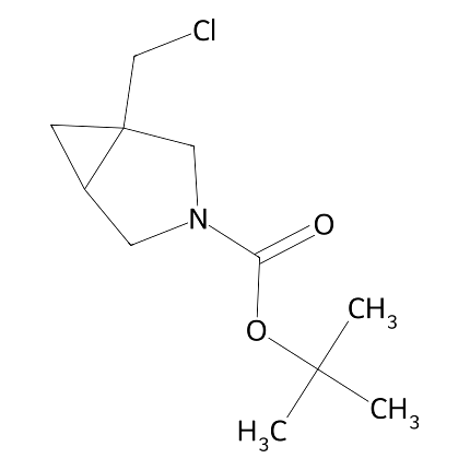 CC(C)(C)OC(=O)N1CC2CC2(CCl)C1